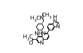 CC(=O)c1cnc2ccc(-c3ccc4[nH]cnc4c3)nc2c1N[C@H]1CC[C@H](CN(C)C)CC1